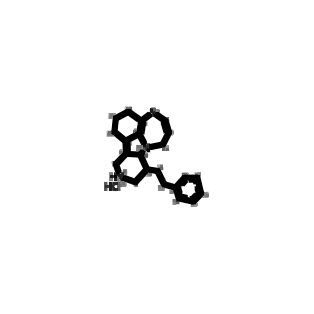 C1=CSC2=C3C(=C4CNCC(CCc5ccccc5)C4N3C1)CCC2.Cl